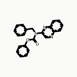 O=C(Oc1ccccc1)N(Cc1ccccc1)c1cnc2ccccc2n1